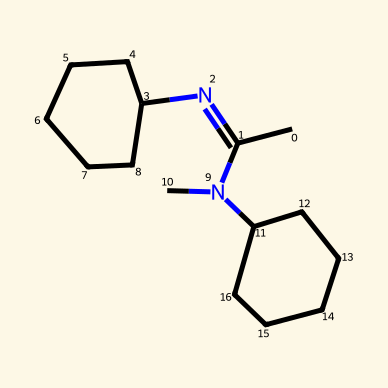 CC(=NC1CCCCC1)N(C)C1CCCCC1